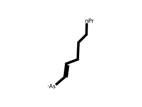 CCCCCCC=C[As]